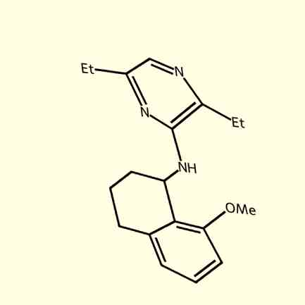 CCc1cnc(CC)c(NC2CCCc3cccc(OC)c32)n1